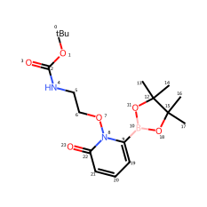 CC(C)(C)OC(=O)NCCOn1c(B2OC(C)(C)C(C)(C)O2)cccc1=O